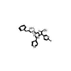 CC(C)(C)c1sc2c(NC[C@@H](N)Cc3ccccc3)nc(-c3ccncc3)nc2c1-c1ccc(F)nc1